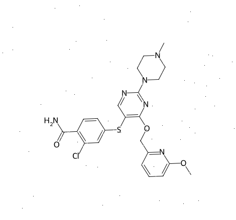 COc1cccc(COc2nc(N3CCN(C)CC3)ncc2Sc2ccc(C(N)=O)c(Cl)c2)n1